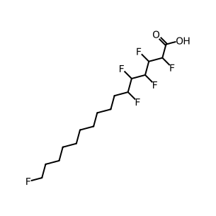 O=C(O)C(F)C(F)C(F)C(F)C(F)CCCCCCCCCCF